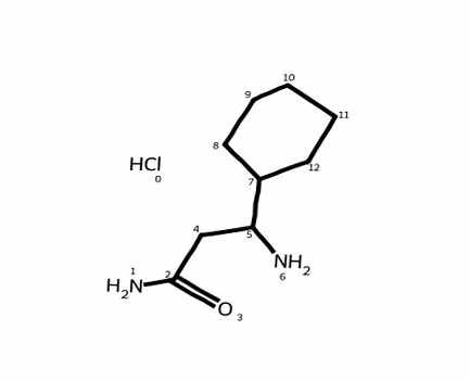 Cl.NC(=O)CC(N)C1CCCCC1